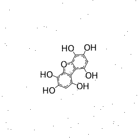 Oc1cc(O)c2c(oc3c(O)c(O)cc(O)c32)c1O